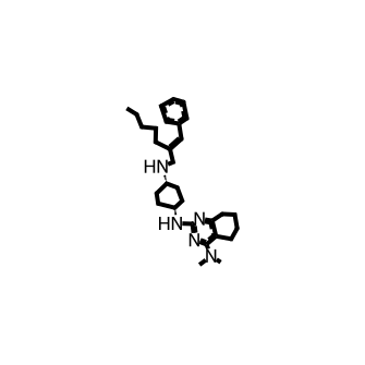 CCCCC/C(=C\c1ccccc1)CN[C@H]1CC[C@@H](Nc2nc3c(c(N(C)C)n2)CCCC3)CC1